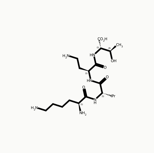 CC(C)[C@H](NC(=O)[C@@H](N)CCCCN)C(=O)N[C@@H](CCN)C(=O)N[C@H](C(=O)O)[C@@H](C)O